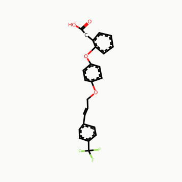 O=C(O)Cc1ccccc1Oc1ccc(OCC=Cc2ccc(C(F)(F)F)cc2)cc1